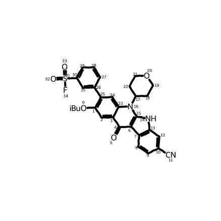 CC(C)COc1cc2c(=O)c3c4ccc(C#N)cc4[nH]c3n(C3CCOCC3)c2cc1-c1cccc(S(=O)(=O)F)c1